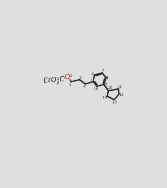 CCOC(=O)OCCCc1cccc(C2CCCC2)c1